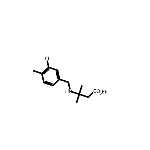 CCOC(=O)CC(C)(C)NCc1ccc(C)c(Cl)c1